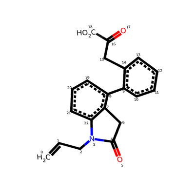 C=CCN1C(=O)Cc2c(-c3ccccc3CC(=O)C(=O)O)cccc21